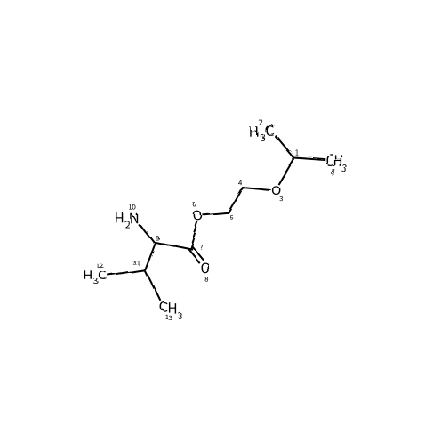 CC(C)OCCOC(=O)C(N)C(C)C